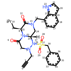 C#CCN1CC(=O)N2[C@@H](CC(C)C)C(=O)N(Cc3cccc4cc[nH]c34)C[C@@H]2N1S(=O)(=O)Cc1ccccc1